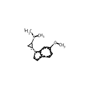 COc1ccc2ccn([C@H]3CC3N(C)C)c2c1